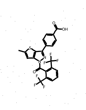 Cc1cc2c(s1)c(-c1ccc(C(=O)O)cc1)nn2C(=O)c1c(C(F)(F)F)cccc1C(F)(F)F